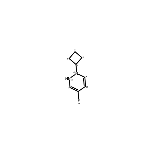 FC1=CNN(C2CCC2)C=C1